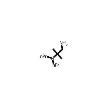 CCCN(CCC)C(C)(C)CN